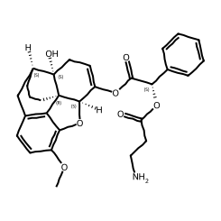 COc1ccc2c3c1O[C@@H]1C(OC(=O)[C@@H](OC(=O)CCN)c4ccccc4)=CC[C@]4(O)[C@@H](CCC[C@@]314)C2